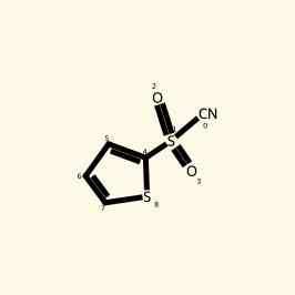 N#CS(=O)(=O)c1cccs1